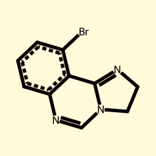 Brc1cccc2c1C1=NCCN1C=N2